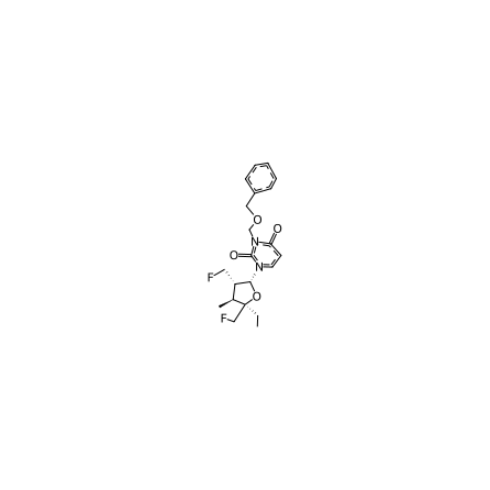 CC[C@@]1(CF)O[C@@H](n2ccc(=O)n(COCc3ccccc3)c2=O)[C@@H](CF)[C@@H]1C